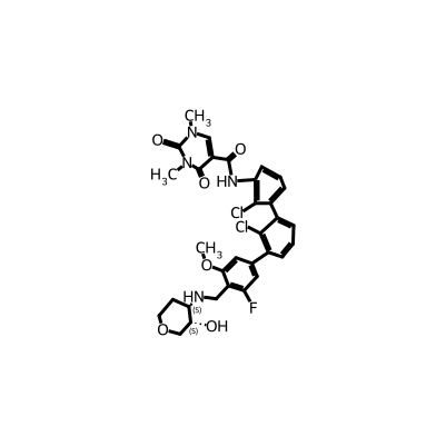 COc1cc(-c2cccc(-c3cccc(NC(=O)c4cn(C)c(=O)n(C)c4=O)c3Cl)c2Cl)cc(F)c1CN[C@H]1CCOC[C@H]1O